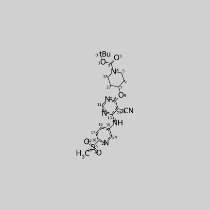 CC(C)(C)OC(=O)N1CCC(Oc2ncnc(Nc3ccc(S(C)(=O)=O)nc3)c2C#N)CC1